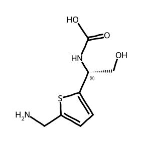 NCc1ccc([C@@H](CO)NC(=O)O)s1